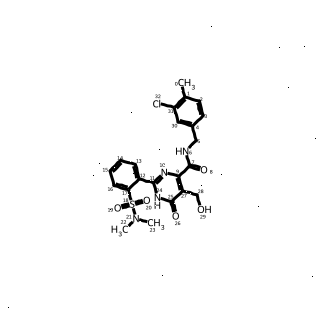 Cc1ccc(CNC(=O)c2nc(-c3ccccc3S(=O)(=O)N(C)C)[nH]c(=O)c2CO)cc1Cl